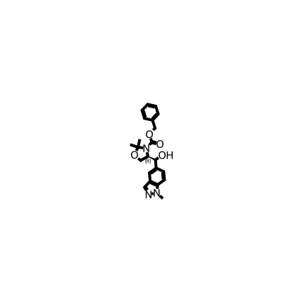 Cn1ncc2cc(C(O)[C@H]3COC(C)(C)N3C(=O)OCc3ccccc3)ccc21